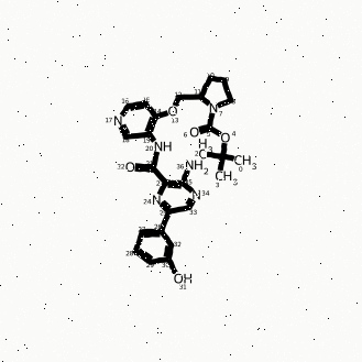 CC(C)(C)OC(=O)N1CCCC1COc1ccncc1NC(=O)c1nc(-c2cccc(O)c2)cnc1N